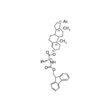 CC(=O)[C@H]1CCC2C3CCC4=C[C@@H](OC(=O)[C@@H](NC(=O)OCC5c6ccccc6-c6ccccc65)C(C)C)CC[C@]4(C)C3CC[C@@]21C